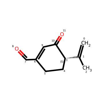 C=C(C)[C@@H]1CCC(C=O)=CC1=O